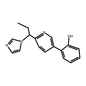 CCC(c1ccc(-c2ccccc2O)cn1)n1ccnc1